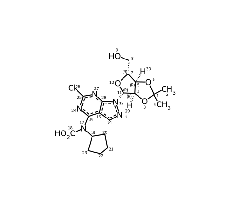 CC1(C)O[C@@H]2[C@H](O1)[C@@H](CO)O[C@H]2n1ncc2c(N(C(=O)O)C3CCCC3)nc(Cl)nc21